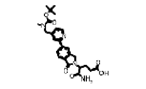 CN(Cc1ccnc(-c2ccc3c(c2)CN(C(CCC(=O)O)C(N)=O)C3=O)c1)C(=O)OC(C)(C)C